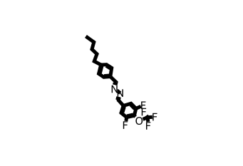 CCCCCc1ccc(C=NN=Cc2cc(F)c(OC(F)(F)F)c(F)c2)cc1